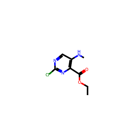 CCOC(=O)c1nc(Cl)ncc1NC